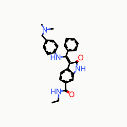 CCNC(=O)c1ccc2c(c1)NC(=O)C2=C(Nc1ccc(CN(C)C)cc1)c1ccccc1